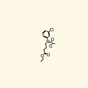 CCOC(=O)CCCN(c1cccc(Cl)c1)S(C)(=O)=O